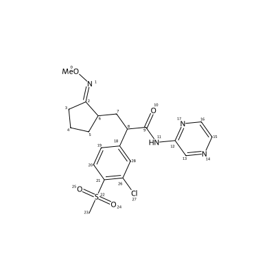 CON=C1CCCC1CC(C(=O)Nc1cnccn1)c1ccc(S(C)(=O)=O)c(Cl)c1